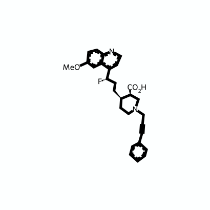 COc1ccc2nccc([C@@H](F)CC[C@@H]3CCN(CC#Cc4ccccc4)C[C@@H]3C(=O)O)c2c1